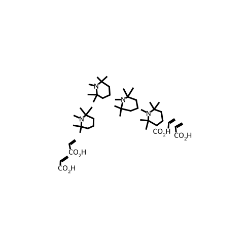 C=CC(=O)O.C=CC(=O)O.C=CC(=O)O.C=CC(=O)O.CN1C(C)(C)CCCC1(C)C.CN1C(C)(C)CCCC1(C)C.CN1C(C)(C)CCCC1(C)C.CN1C(C)(C)CCCC1(C)C